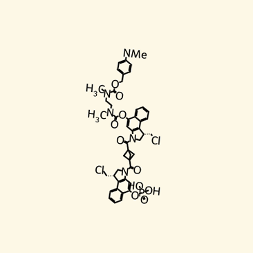 CNc1ccc(COC(=O)N(C)CCN(C)C(=O)Oc2cc3c(c4ccccc24)[C@H](CCl)CN3C(=O)C23CC(C(=O)N4C[C@@H](CCl)c5c4cc(OP(=O)(O)O)c4ccccc54)(C2)C3)cc1